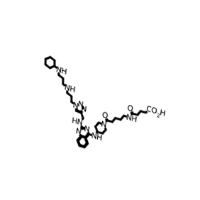 O=C(O)CCCC(=O)NCCCCC(=O)N1CCC(Nc2nc(NCc3cn(CCCNCCCNC4CCCCC4)nn3)nc3ccccc23)CC1